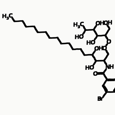 CCCCCCCCCCCCCCC(O)C(O)C(COOC(CO)C(O)C(O)C(C)O)NC(=O)c1cccc(Br)c1